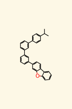 CC(C)c1ccc(-c2cccc(-c3cccc(-c4ccc5c(c4)oc4ccccc45)c3)c2)cc1